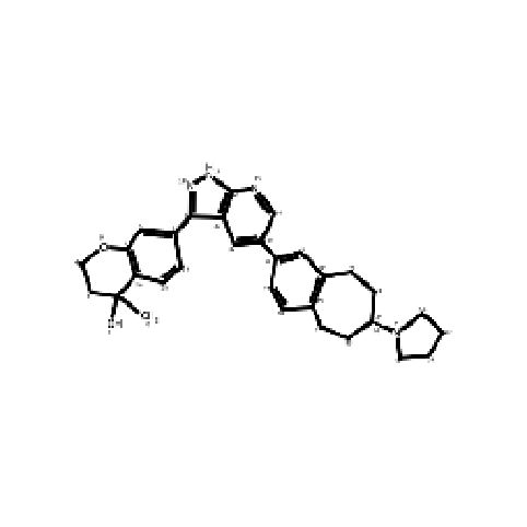 CC1(O)CCOc2cc(-c3n[nH]c4ncc(-c5ccc6c(c5)CC[C@@H](N5CCCC5)CC6)cc34)ccc21